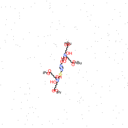 CCCCOC(=O)CCCCC(O)CN(CCCC(=O)OCCN1CCN(CCSSCCCN(CC(O)CCCCC(=O)OC(C)C)CC(O)CCCCC(=O)OC(C)C)CC1)CC(O)CCCCC(=O)OCCCC